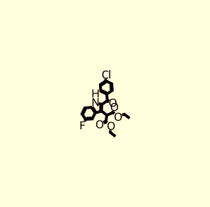 CCOC(=O)C(C(=O)OCC)c1c(C(=O)c2ccc(Cl)cc2)[nH]c2ccc(F)cc12